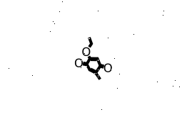 CCOC1=CC(=O)C(C)=CC1=O